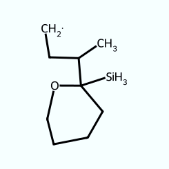 [CH2]CC(C)C1([SiH3])CCCCO1